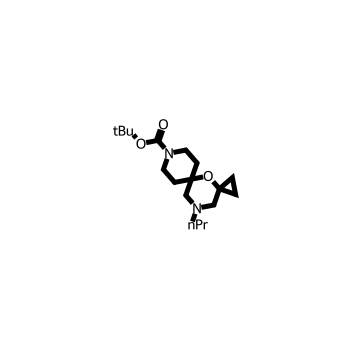 CCCN1CC2(CCN(C(=O)OC(C)(C)C)CC2)OC2(CC2)C1